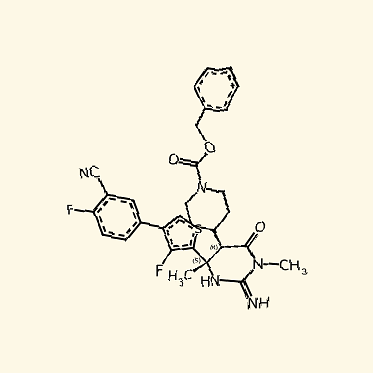 CN1C(=N)N[C@](C)(c2scc(-c3ccc(F)c(C#N)c3)c2F)[C@@H](C2CCN(C(=O)OCc3ccccc3)CC2)C1=O